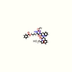 CC(C)OC(=O)N[C@@H](CCCCOC(=O)c1ccccc1)C(=O)N[C@H](Cc1ccccc1)C(=O)N[C@@H](Cc1ccccc1)C(=O)N1CCC[C@@H]1C(=O)O